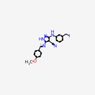 COc1ccc(/C=N/c2[nH]nc(Nc3cccc(CI)c3)c2C#N)cc1